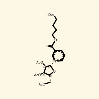 CCCCCCCCCCCCCCOC(=O)c1ccc[n+]([C@@H]2O[C@H](COC(C)=O)[C@@H](OC(C)=O)[C@H]2OC(C)=O)c1